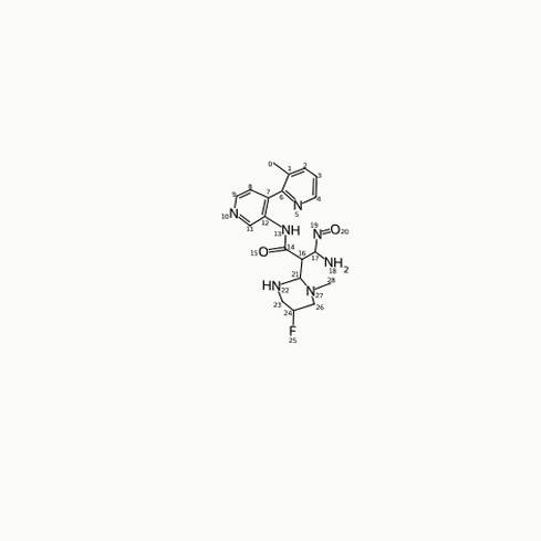 Cc1cccnc1-c1ccncc1NC(=O)C(C(N)N=O)C1NCC(F)CN1C